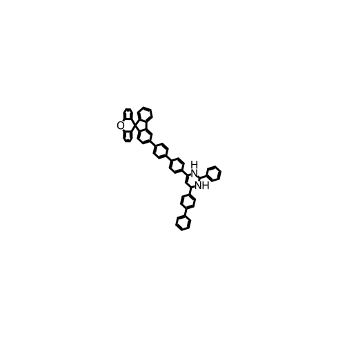 C1=C(c2ccc(-c3ccc(-c4ccc5c(c4)-c4ccccc4C54c5ccccc5Oc5ccccc54)cc3)cc2)NC(c2ccccc2)NC1c1ccc(-c2ccccc2)cc1